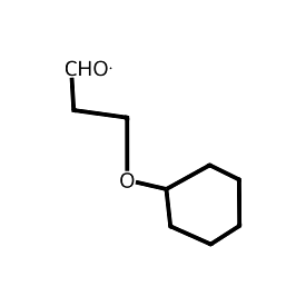 O=[C]CCOC1CCCCC1